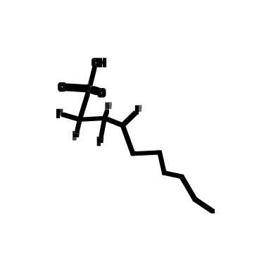 CCCCCCC(F)C(F)(F)C(F)(F)S(=O)(=O)O